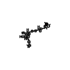 Cc1ncsc1-c1ccc(CNC(=O)C2CC(O)CN2C(=O)C(NC(=O)CCOCCOCCNC(=O)OCCCC2OC3OC4(C)CCC5C(C)CCC(C2C)C35OO4)C(C)(C)C)cc1